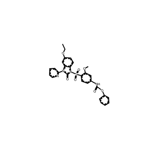 CCOc1ccc2c(c1)n(-c1ccccn1)c(=O)n2S(=O)(=O)c1ccc(NC(=O)Oc2ccccc2)cc1OC